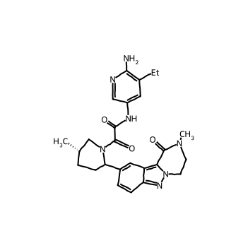 CCc1cc(NC(=O)C(=O)N2C[C@@H](C)CCC2c2ccc3nn4c(c3c2)C(=O)N(C)CC4)cnc1N